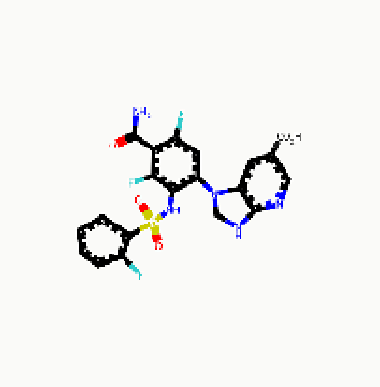 NC(=O)c1c(F)cc(N2CNc3ncc(C(=O)O)cc32)c(NS(=O)(=O)c2ccccc2F)c1F